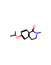 CC(C)Oc1ccc2c(c1)CCN(C)C2=O